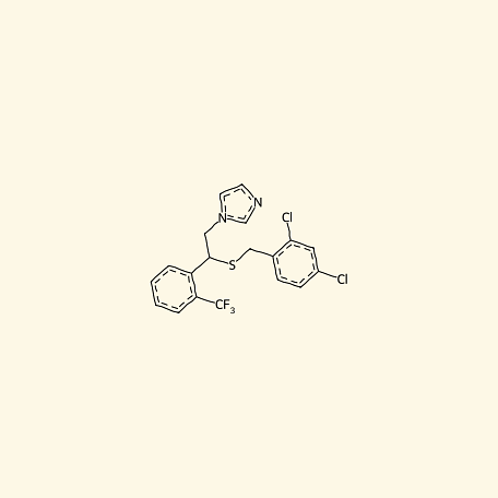 FC(F)(F)c1ccccc1C(Cn1ccnc1)SCc1ccc(Cl)cc1Cl